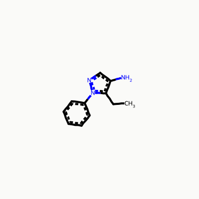 CCc1c(N)cnn1-c1ccccc1